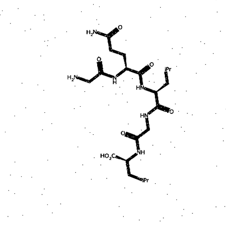 CC(C)C[C@H](NC(=O)CNC(=O)[C@H](CC(C)C)NC(=O)[C@H](CCC(N)=O)NC(=O)CN)C(=O)O